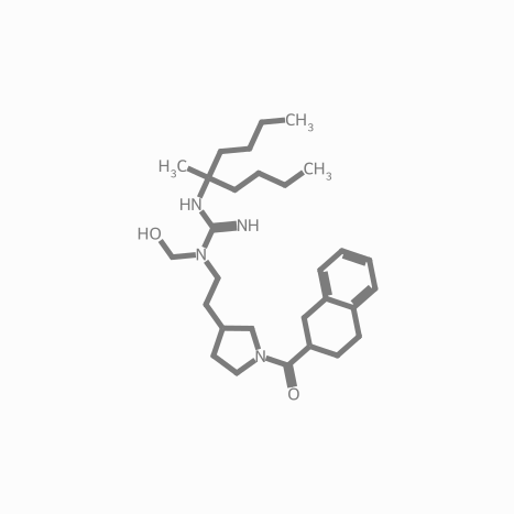 CCCCC(C)(CCCC)NC(=N)N(CO)CCC1CCN(C(=O)C2CCc3ccccc3C2)C1